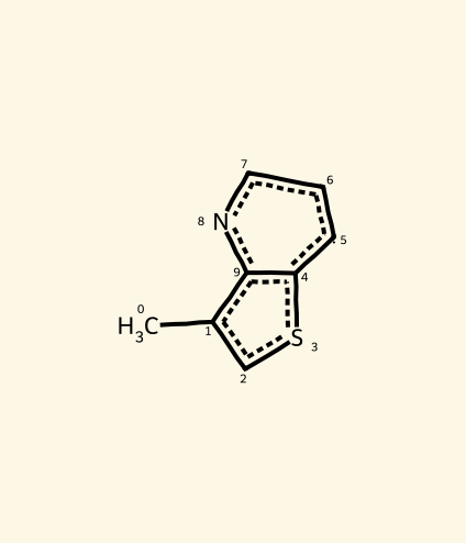 Cc1csc2[c]ccnc12